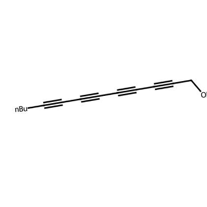 CCCCC#CC#CC#CC#CCO